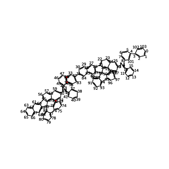 c1ccc(-c2cccc(N(c3ccccc3)c3ccc4c5c(ccc4c3)-c3cc4ccc(-c6cccc(-c7ccccc7N(c7ccccc7)c7ccc8c9c(ccc8c7)-c7cc8ccccc8cc7C97c8ccccc8-c8ccccc87)c6)cc4cc3C53c4ccccc4-c4ccccc43)c2)cc1